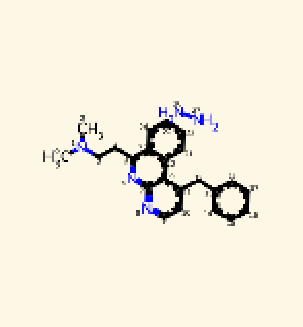 CN(C)CCc1nc2nccc(Cc3ccccc3)c2c2ccccc12.NN